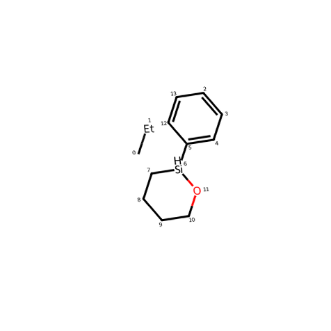 CCC.c1ccc([SiH]2CCCCO2)cc1